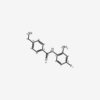 Nc1cc(F)ccc1NC(=O)c1ccc(CS)cc1